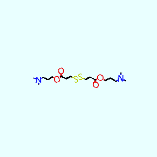 CN(C)CCCOC(=O)CCSSCCC(=O)OCCCN(C)C